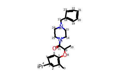 Cc1cc(C(C)C)ccc1OC(C)C(=O)N1CCN(Cc2ccccc2)CC1